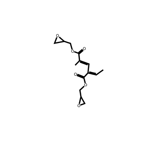 C/C=C(\C=C(/C)C(=O)OCC1CO1)C(=O)OCC1CO1